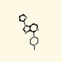 CN1CCN(c2nccc3c2ncn3-c2cccs2)CC1